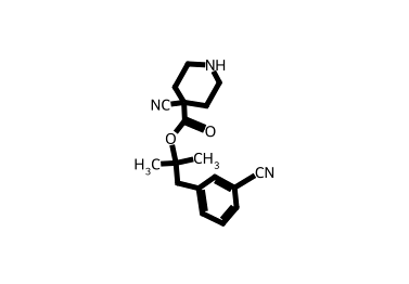 CC(C)(Cc1cccc(C#N)c1)OC(=O)C1(C#N)CCNCC1